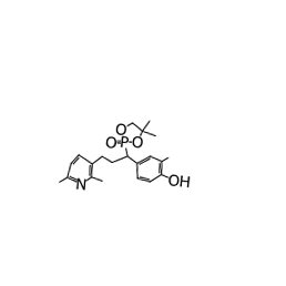 Cc1ccc(CCC(c2ccc(O)c(C)c2)P2(=O)OCC(C)(C)O2)c(C)n1